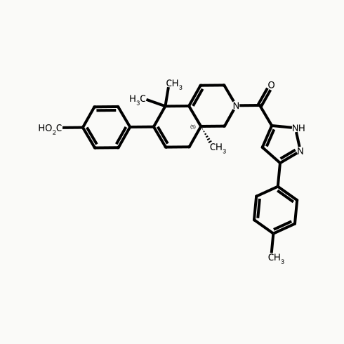 Cc1ccc(-c2cc(C(=O)N3CC=C4C(C)(C)C(c5ccc(C(=O)O)cc5)=CC[C@]4(C)C3)[nH]n2)cc1